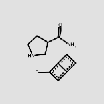 Fc1cc2ccc1-2.NC(=O)C1CCNC1